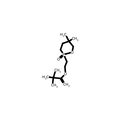 C=C(OCCP1(=O)CCC(C)(C)CO1)C(C)(C)C